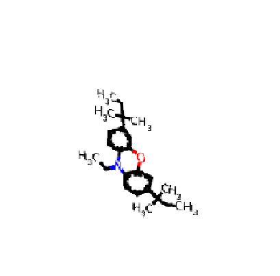 CCN1c2ccc(C(C)(C)CC)cc2Oc2cc(C(C)(C)CC)ccc21